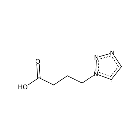 O=C(O)CCCn1[c]cnn1